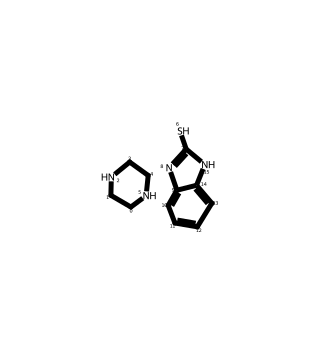 C1CNCCN1.Sc1nc2ccccc2[nH]1